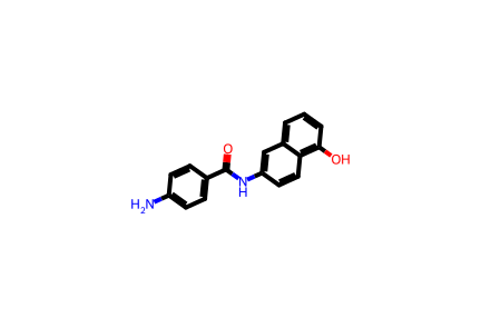 Nc1ccc(C(=O)Nc2ccc3c(O)cccc3c2)cc1